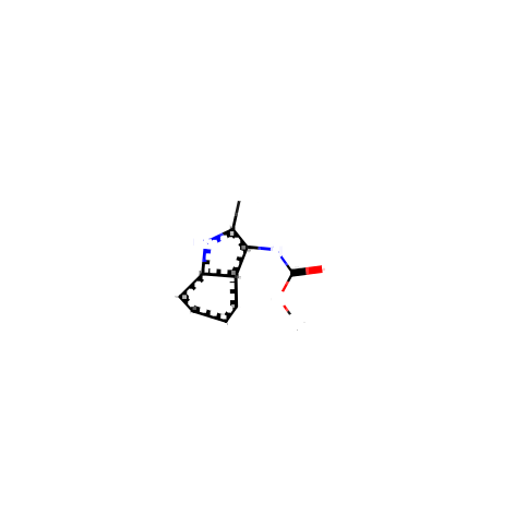 CCOC(=O)c1[nH]c2ccccc2c1NC(=O)OC(C)(C)C